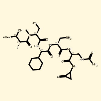 CCCCCC[C@@H](O)[C@@H](C)C(=O)N(C)[C@@H](CC(C)C)C(=O)N[C@H](C(=O)N[C@@H](CN)C(=O)N[C@@H](CNC(N)=O)C(=O)NC1CC1=O)C1CCCCC1